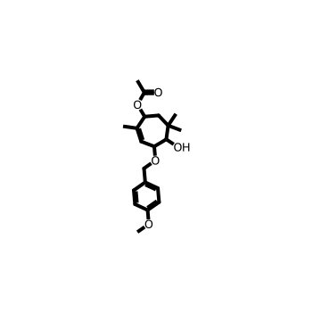 COc1ccc(COC2C=C(C)C(OC(C)=O)CC(C)(C)C2O)cc1